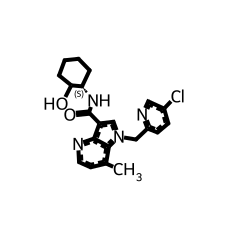 Cc1ccnc2c(C(=O)N[C@H]3CCCCC3O)cn(Cc3ccc(Cl)cn3)c12